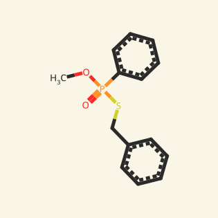 COP(=O)(SCc1ccccc1)c1ccccc1